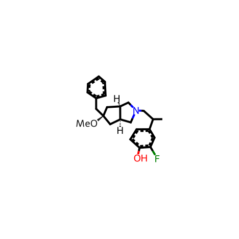 CO[C@@]1(Cc2ccccc2)C[C@H]2CN(CC(C)c3ccc(O)c(F)c3)C[C@H]2C1